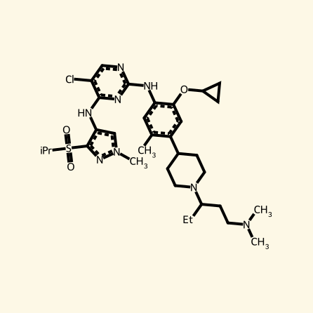 CCC(CCN(C)C)N1CCC(c2cc(OC3CC3)c(Nc3ncc(Cl)c(Nc4cn(C)nc4S(=O)(=O)C(C)C)n3)cc2C)CC1